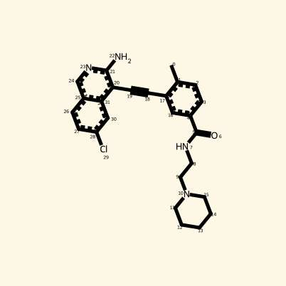 Cc1ccc(C(=O)NCCN2CCCCC2)cc1C#Cc1c(N)ncc2ccc(Cl)cc12